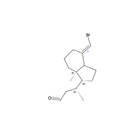 C[C@H](CC=O)[C@H]1CCC2/C(=C/Br)CCC[C@@]21C